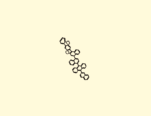 c1ccc2cc(-c3c4ccccc4c(-c4ccc(-c5cc6oc7cc8c(cc7c6c6ccccc56)oc5ccccc58)c5ccccc45)c4ccccc34)ccc2c1